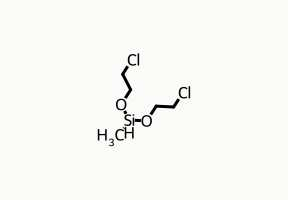 C[SiH](OCCCl)OCCCl